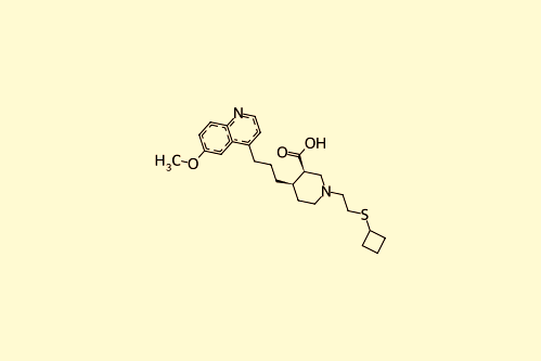 COc1ccc2nccc(CCC[C@@H]3CCN(CCSC4CCC4)C[C@@H]3C(=O)O)c2c1